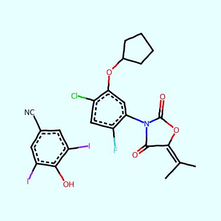 CC(C)=C1OC(=O)N(c2cc(OC3CCCC3)c(Cl)cc2F)C1=O.N#Cc1cc(I)c(O)c(I)c1